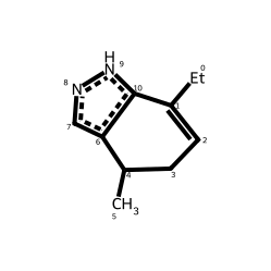 CCC1=CCC(C)c2cn[nH]c21